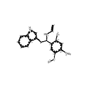 C=CNC(Cc1c[nH]c2ccccc12)c1cc(OCC)c(OC)cc1CC